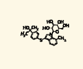 Cc1cccc2c(Sc3ccc(C(C)(C)O)cc3)cn([C@@H]3O[C@H](CO)[C@@H](O)[C@H](O)[C@H]3O)c12